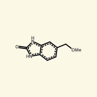 COCc1ccc2[nH]c(=O)[nH]c2c1